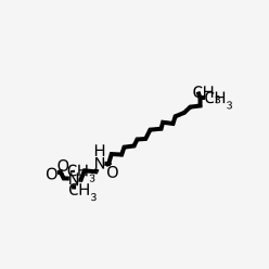 CC(C)CCCCCCCCCCCCCCC(=O)NCCC[N+](C)(C)CC(=O)[O-]